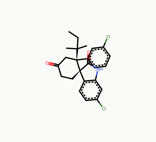 CCC(C)(C)[C@]1(c2cccc(Cl)c2)CC(=O)CC[C@]12C(=O)Nc1cc(Cl)ccc12